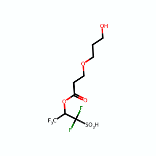 O=C(CCOCCCO)OC(C(F)(F)F)C(F)(F)S(=O)(=O)O